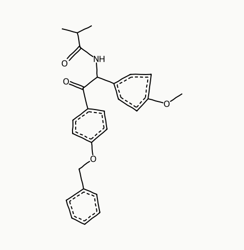 COc1ccc(C(NC(=O)C(C)C)C(=O)c2ccc(OCc3ccccc3)cc2)cc1